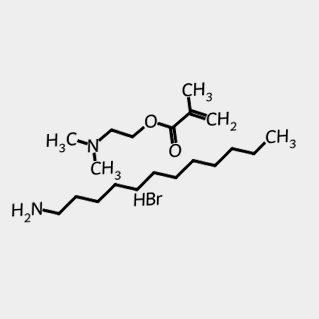 Br.C=C(C)C(=O)OCCN(C)C.CCCCCCCCCCCCN